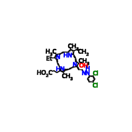 C=Cc1c(C)c2cc3nc(cc4[nH]c(cc5nc(cc1[nH]2)C(C)(O)/C5=C\C=N\Nc1ccc(Cl)cc1Cl)c(C)c4CCC(=O)O)C(CC)=C3C